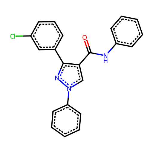 O=C(Nc1ccccc1)c1cn(-c2ccccc2)nc1-c1cccc(Cl)c1